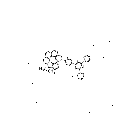 CC1(C)c2ccccc2-c2c1ccc1ccc3ccc4cc(-c5ccc(-c6nc(-c7ccccc7)nc(-c7ccccc7)n6)cn5)ccc4c3c21